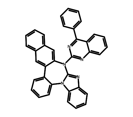 c1ccc(-c2nc(N3c4cc5ccccc5cc4-c4ccccc4-n4c3nc3ccccc34)nc3ccccc23)cc1